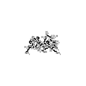 CC(C)[C@H](NC(=O)[C@@H]1CCCN1C(=O)[C@H](CCC(=O)O)NC(=O)[C@@H](N)CCCCN)C(=O)N1CCC[C@H]1C(=O)N[C@@H](CCC(N)=O)C(=O)N[C@@H](C)C(=O)N[C@@H](CCCCN)C(=O)N1CCC[C@H]1C(=O)N[C@@H](CCCNC(=N)N)C(=O)N[C@@H](CCCCN)C(=O)N[C@@H](C)C(=O)N[C@@H](C)C(=O)N[C@@H](C)C(=O)N[C@@H](CCC(N)=O)C(=O)O